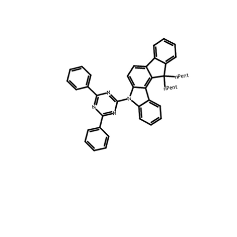 CCCCCC1(CCCCC)c2ccccc2-c2ccc3c(c21)c1ccccc1n3-c1nc(-c2ccccc2)nc(-c2ccccc2)n1